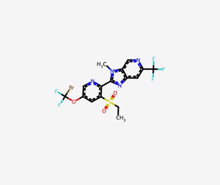 CCS(=O)(=O)c1cc(OC(F)(F)Br)cnc1-c1nc2cc(C(F)(F)F)ncc2n1C